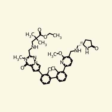 CCOC(=O)C(C)(C)CNCc1nn2cc(-c3cccc(-c4cccc(-c5ccc(CNC[C@@H]6CCC(=O)N6)c(OC)n5)c4Cl)c3Cl)cc2c(=O)n1C